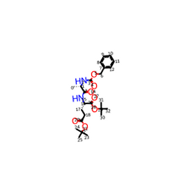 C[C@H](NC(=O)OCc1ccccc1)C(=O)N[C@@H](CCC(=O)OC(C)(C)C)C(=O)OC(C)(C)C